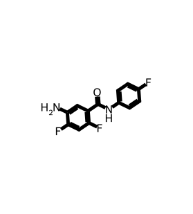 Nc1cc(C(=O)Nc2ccc(F)cc2)c(F)cc1F